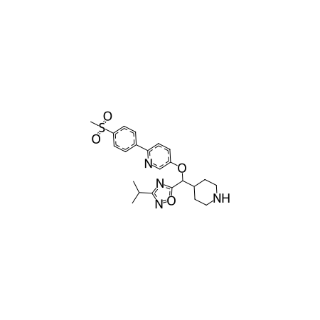 CC(C)c1noc(C(Oc2ccc(-c3ccc(S(C)(=O)=O)cc3)nc2)C2CCNCC2)n1